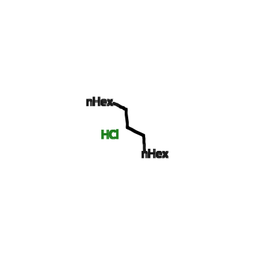 CCCCCCCCCCCCCCC.Cl